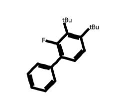 CC(C)(C)c1ccc(-c2ccccc2)c(F)c1C(C)(C)C